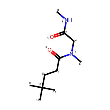 CNC(=O)CN(C)C(=O)CCC(C)(C)C